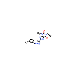 Cn1c(=O)n(CC2CC2)c(=O)c2[nH]c(-c3cnn(Cc4cccc(C(F)(F)F)c4)c3)nc21